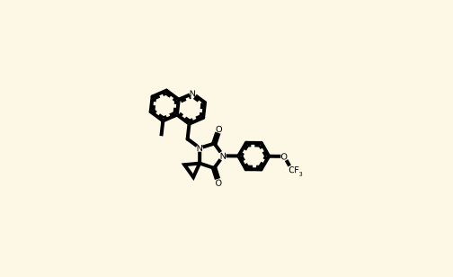 Cc1cccc2nccc(CN3C(=O)N(c4ccc(OC(F)(F)F)cc4)C(=O)C34CC4)c12